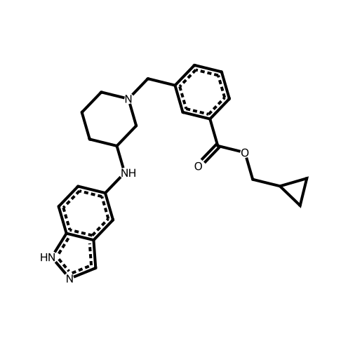 O=C(OCC1CC1)c1cccc(CN2CCCC(Nc3ccc4[nH]ncc4c3)C2)c1